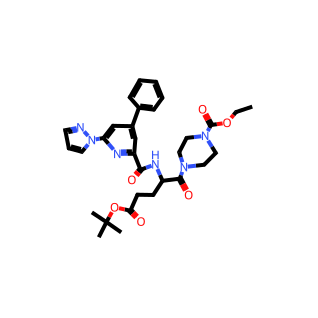 CCOC(=O)N1CCN(C(=O)C(CCC(=O)OC(C)(C)C)NC(=O)c2cc(-c3ccccc3)cc(-n3cccn3)n2)CC1